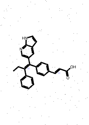 CC/C(=C(/c1ccc(/C=C/C(=O)O)cc1)c1cnc2[nH]ccc2c1)c1ccccc1